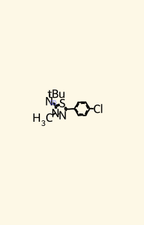 Cn1nc(-c2ccc(Cl)cc2)s/c1=N\C(C)(C)C